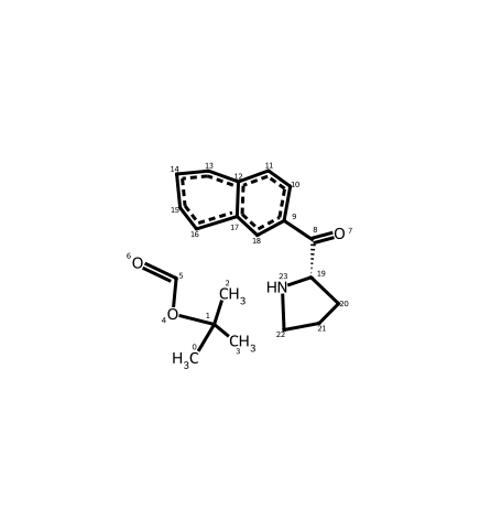 CC(C)(C)OC=O.O=C(c1ccc2ccccc2c1)[C@@H]1CCCN1